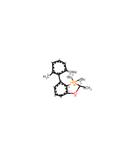 COc1cccc(C)c1-c1cccc2c1[PH](C(C)(C)C)(C(C)(C)C)C(C)O2